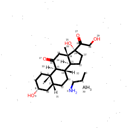 CCCN.C[C@]12CC[C@@H](O)C[C@H]1CC[C@@H]1[C@@H]2C(=O)C[C@@]2(C)[C@H]1CC[C@]2(O)C(=O)CO.[AlH3]